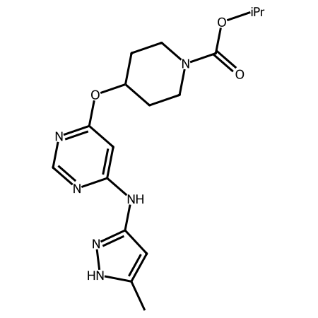 Cc1cc(Nc2cc(OC3CCN(C(=O)OC(C)C)CC3)ncn2)n[nH]1